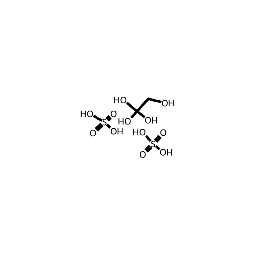 O=S(=O)(O)O.O=S(=O)(O)O.OCC(O)(O)O